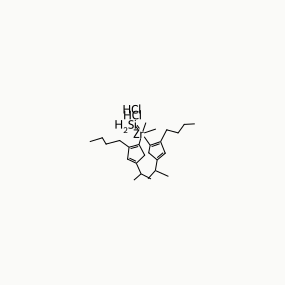 CCCCC1=[C]([Zr]([CH3])([CH3])(=[SiH2])[C]2=C(CCCC)C=C(C(C)C)C2)CC(C(C)C)=C1.Cl.Cl